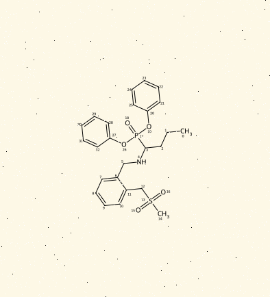 CCCC(NCc1ccccc1CS(C)(=O)=O)P(=O)(Oc1ccccc1)Oc1ccccc1